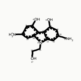 Nc1cc(O)c2c3c(O)cc(N)cc3n(CCO)c2c1